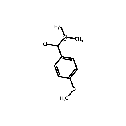 COc1ccc(C(Cl)[SiH](C)C)cc1